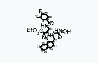 CCOC(=O)c1nnn([C@@H](CC(=O)NO)Cc2ccc3ccccc3c2)c1CNC(=O)C1=CC=C(F)C(C)C1